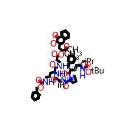 CC(C)C[C@@H](/C=C/[C@H](Cc1ccccc1)C(=O)N1CCCC1C(=O)NC(C(=O)NC(CCCNC(=O)OCc1ccccc1)C(=O)NCCC(=O)OC1CC2=C(OC1(C)C)c1ccccc1C(=O)C2=O)C(C)C)NC(=O)OC(C)(C)C